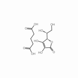 O=C(O)CCCC(=O)O.O=C1O[C@H]([C@@H](O)CO)C(O)=C1O